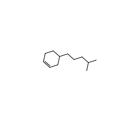 CC(C)CCCC1CC=CCC1